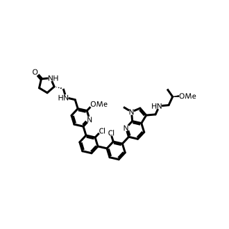 COc1nc(-c2cccc(-c3cccc(-c4ccc5c(CNC[C@@H](C)OC)cn(C)c5n4)c3Cl)c2Cl)ccc1CNC[C@@H]1CCC(=O)N1